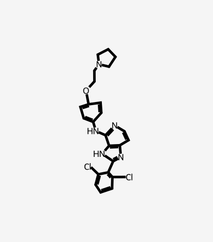 Clc1cccc(Cl)c1-c1nc2ccnc(Nc3ccc(OCCN4CCCC4)cc3)c2[nH]1